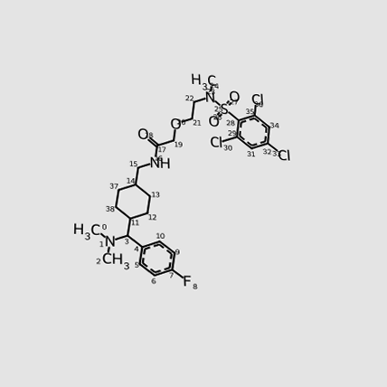 CN(C)C(c1ccc(F)cc1)C1CCC(CNC(=O)COCCN(C)S(=O)(=O)c2c(Cl)cc(Cl)cc2Cl)CC1